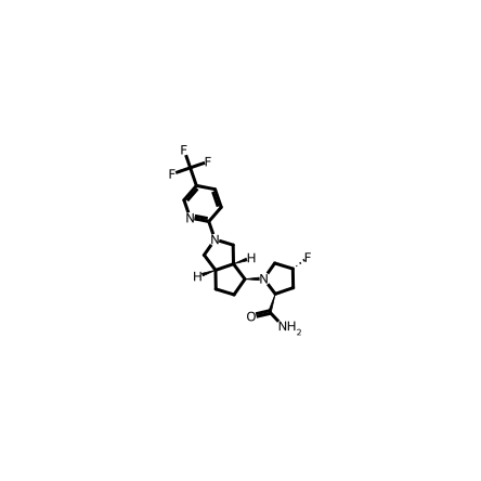 NC(=O)[C@@H]1C[C@@H](F)CN1[C@H]1CC[C@@H]2CN(c3ccc(C(F)(F)F)cn3)C[C@@H]21